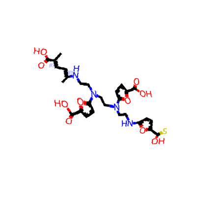 C/C(=C\C=C(/C)C(=O)O)NCCN(CCN(CCNc1ccc(C(O)=S)o1)c1ccc(C(=O)O)o1)c1ccc(C(=O)O)o1